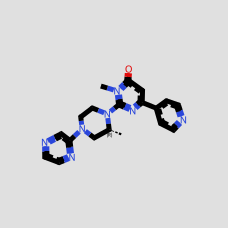 C[C@@H]1CN(c2cnccn2)CCN1c1nc(-c2ccncc2)cc(=O)n1C